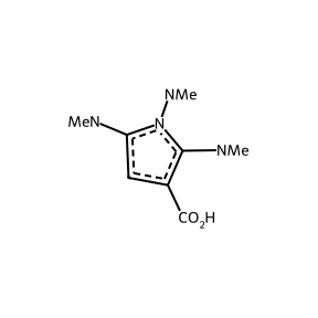 CNc1cc(C(=O)O)c(NC)n1NC